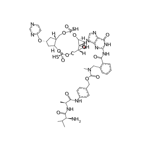 CC(C)[C@H](N)C(=O)N[C@@H](C)C(=O)Nc1ccc(COC(=O)N(C)Cc2ccccc2C(=O)Nc2nc3c(ncn3[C@@H]3O[C@@H]4CO[P@@](=O)(S)O[C@H]5C[C@H](Oc6ccncn6)C[C@@H]5CO[P@@](=O)(S)O[C@@H]3[C@@H]4O)c(=O)[nH]2)cc1